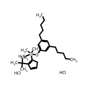 CCCCCc1cc(CCCCC)cc([O][Ti]([CH3])([CH3])([SiH3])[C]2=C(C(C)(C)C)C=CC2)c1.Cl.Cl